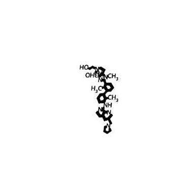 Cc1c(Nc2nccc3cc(CN4CCCC4)cnc23)cccc1-c1cccc(-c2nc(C=O)c(/C=C\N(C)CCO)n2C)c1C